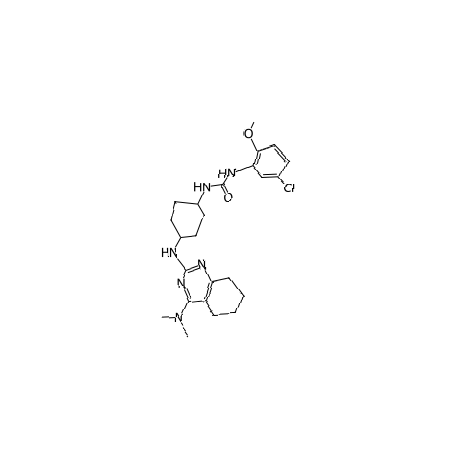 COc1ccc(Cl)cc1NC(=O)NC1CCC(Nc2nc3c(c(N(C)C)n2)CCCC3)CC1